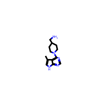 Cc1c[nH]c2ncnc(N3CCC(CN)CC3)c12